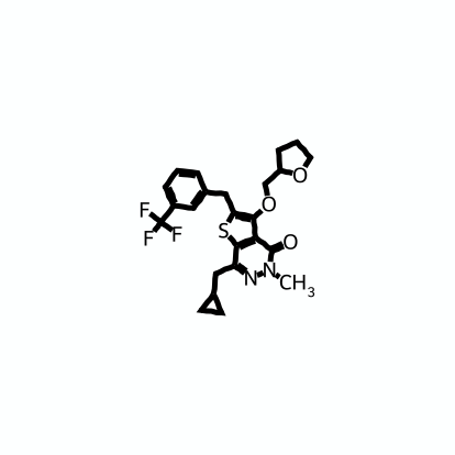 Cn1nc(CC2CC2)c2sc(Cc3cccc(C(F)(F)F)c3)c(OCC3CCCO3)c2c1=O